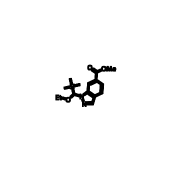 CCOC(n1ncc2ccc(C(=O)OC)cc21)[Si](C)(C)C